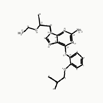 CC(C)COc1ccccc1Sc1nc(N)nc2c1ncn2CC(C)OCP